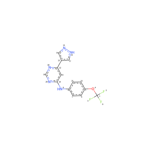 FC(F)(F)Oc1ccc(Nc2cc(-c3cn[nH]c3)ncn2)cc1